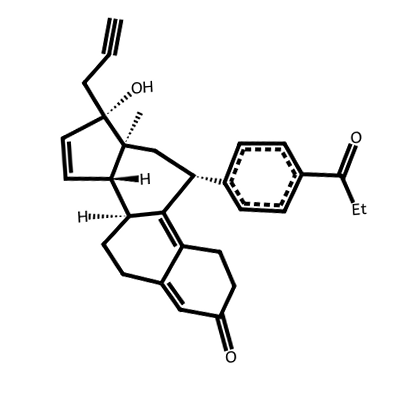 C#CC[C@]1(O)C=C[C@H]2[C@@H]3CCC4=CC(=O)CCC4=C3[C@@H](c3ccc(C(=O)CC)cc3)C[C@@]21C